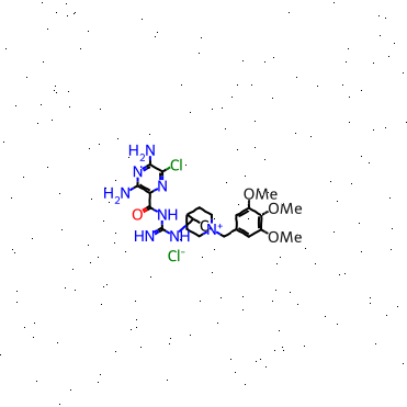 COc1cc(C[N+]23CCC(CC2)C(NC(=N)NC(=O)c2nc(Cl)c(N)nc2N)C3)cc(OC)c1OC.[Cl-]